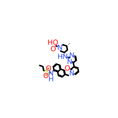 CCCS(=O)(=O)Nc1cccc2c(Oc3ncccc3-c3ccnc(N[C@H]4C[C@@H](C)CN(C(=O)O)C4)n3)c(C)ccc12